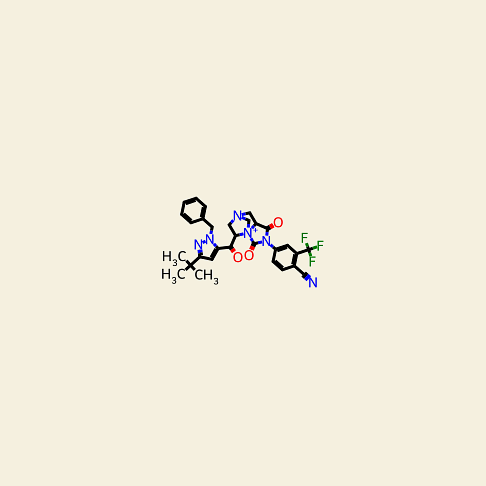 CC(C)(C)c1cc(C(=O)C2CN3CC4C(=O)N(c5ccc(C#N)c(C(F)(F)F)c5)C(=O)[N+]24C3)n(Cc2ccccc2)n1